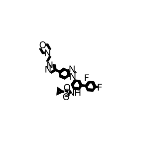 O=S(=O)(Nc1cc(-c2ccc(F)cc2F)cc(-n2cnc3cc(-c4cnn(CCN5CCOCC5)c4)ccc32)c1)C1CC1